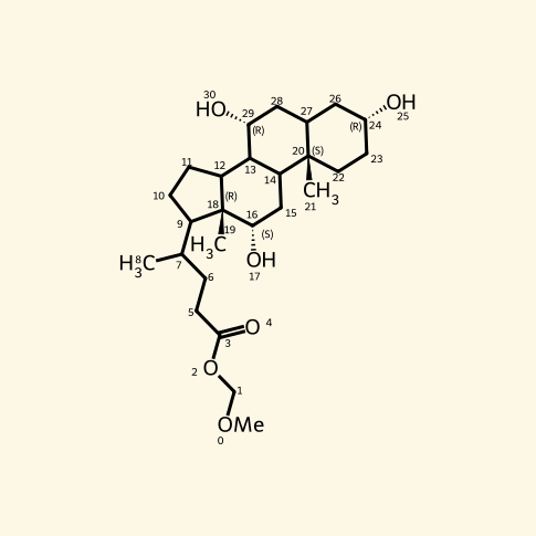 COCOC(=O)CCC(C)C1CCC2C3C(C[C@H](O)[C@]12C)[C@@]1(C)CC[C@@H](O)CC1C[C@H]3O